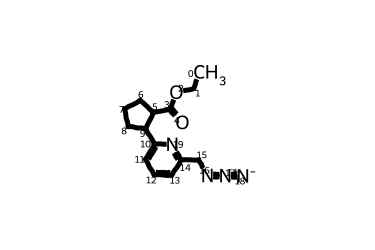 CCOC(=O)C1CCCC1c1cccc(CN=[N+]=[N-])n1